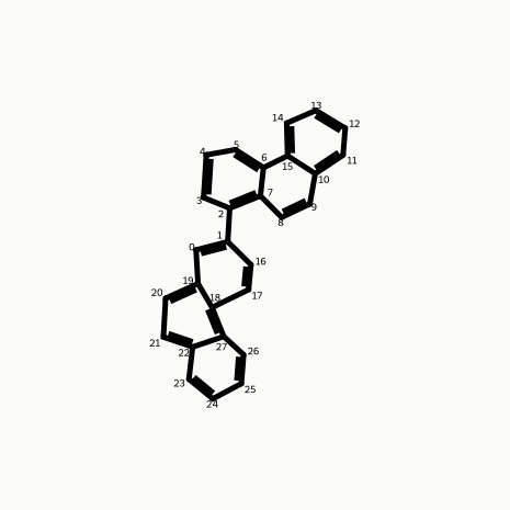 [c]1c(-c2cccc3c2ccc2ccccc23)ccc2c1ccc1ccccc12